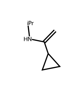 C=C(NC(C)C)C1CC1